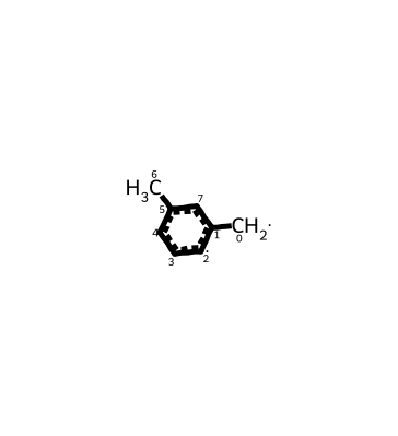 [CH2]c1[c]ccc(C)c1